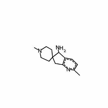 Cc1ccc2c(n1)CC1(CCN(C)CC1)C2N